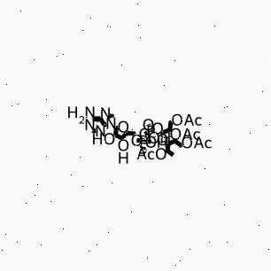 CC(=O)OCCC(OC(OP(=O)(O)OP(O)(=S)OCC1OC(n2cnc3c(N)ncnc32)C(O)C1O)[C@@H](COC(C)=O)OC(C)=O)[C@H](C)OC(C)=O